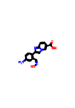 Nc1ccc(-c2cn3cc(C(=O)O)ccc3n2)c(/C=N\O)c1